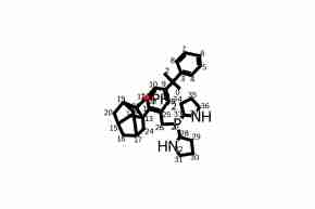 CC(C)(c1ccccc1)c1ccc(C23CC4CC(CC(C4)C2CP)C3)c(CP(C2CCCN2)C2CCCN2)c1